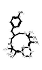 C/C1=[n+]2/[nH]/[n+](o[nH]o2)=C(/C)C(C)(C)NCC(Cc2ccc(N)cc2)CNC1(C)C